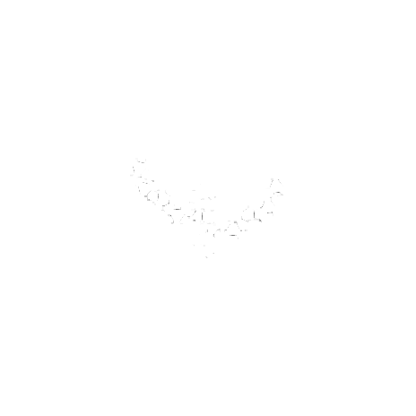 CCCCC1=C(c2ccc3oc4c(ccc5c6cc(-c7ccccc7)ccc6oc54)c3c2)SC(c2sc(-c3ccc4oc5c(ccc6c7cc(-c8ccccc8)ccc7oc65)c4c3)c(CCCC)c2CCCC)C1CCCC